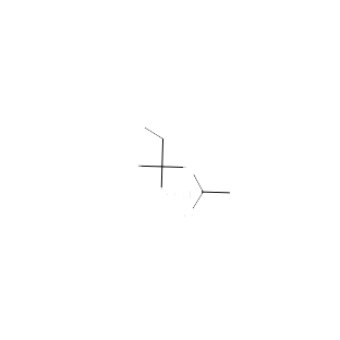 CC(O)OC([O])([CH]C(=O)O)C(=O)O